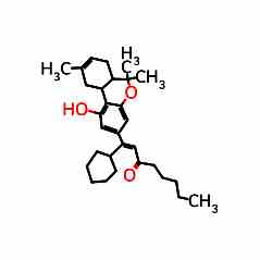 CCCCCC(=O)C=C(c1cc(O)c2c(c1)OC(C)(C)C1CC=C(C)CC21)C1CCCCC1